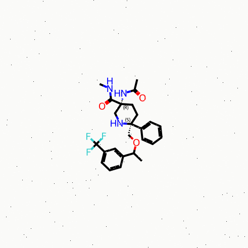 CNC(=O)[C@@]1(NC(C)=O)CC[C@@](COC(C)c2cccc(C(F)(F)F)c2)(c2ccccc2)NC1